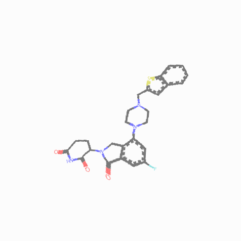 O=C1CCC(N2Cc3c(cc(F)cc3N3CCN(Cc4cc5ccccc5s4)CC3)C2=O)C(=O)N1